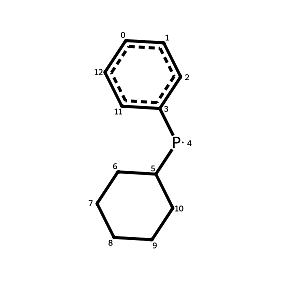 c1ccc([P]C2CCCCC2)cc1